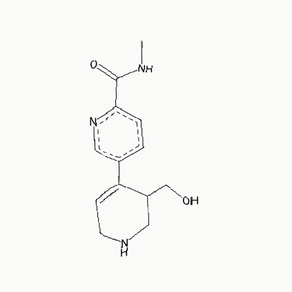 CNC(=O)c1ccc(C2=CCNCC2CO)cn1